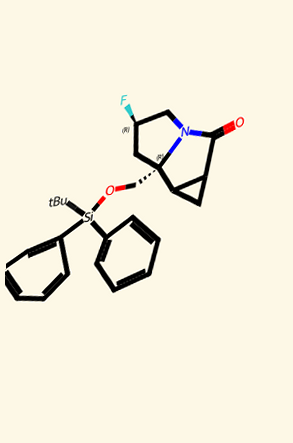 CC(C)(C)[Si](OC[C@]12C[C@@H](F)CN1C(=O)C1CC12)(c1ccccc1)c1ccccc1